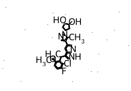 COc1ccc(F)c(Cl)c1[C@@H](C)c1c[nH]c2ncc(-c3cnn([C@H]4C[C@@H](O)[C@@H](O)C4)c3C)cc12